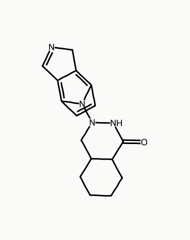 O=C1NN(n2c3ccc2c2c3C=NC2)CC2CCCCC12